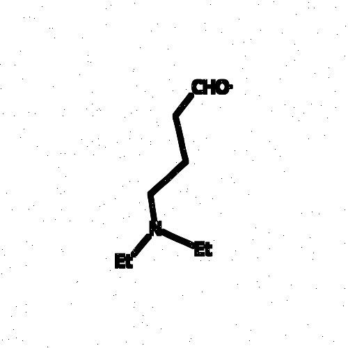 CCN(CC)CCC[C]=O